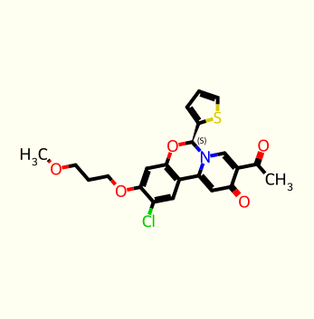 COCCCOc1cc2c(cc1Cl)-c1cc(=O)c(C(C)=O)cn1[C@H](c1cccs1)O2